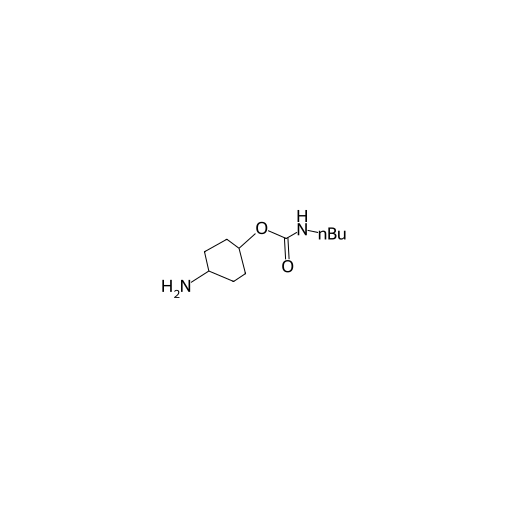 CCCCNC(=O)OC1CCC(N)CC1